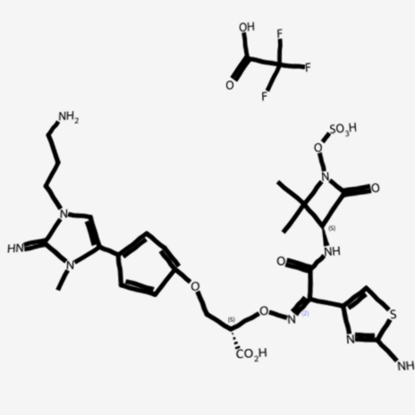 Cn1c(-c2ccc(OC[C@H](O/N=C(\C(=O)N[C@@H]3C(=O)N(OS(=O)(=O)O)C3(C)C)c3csc(N)n3)C(=O)O)cc2)cn(CCCN)c1=N.O=C(O)C(F)(F)F